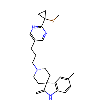 C=C1Nc2ccc(C)cc2C12CCN(CCCc1cnc(C3(SC)CC3)nc1)CC2